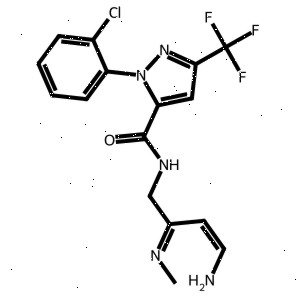 C/N=C(\C=C/N)CNC(=O)c1cc(C(F)(F)F)nn1-c1ccccc1Cl